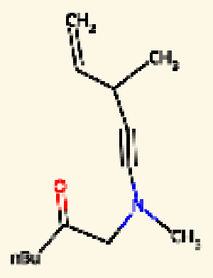 C=CC(C)C#CN(C)CC(=O)CCCC